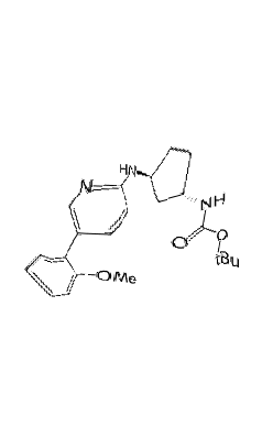 COc1ccccc1-c1ccc(N[C@H]2CC[C@H](NC(=O)OC(C)(C)C)C2)nc1